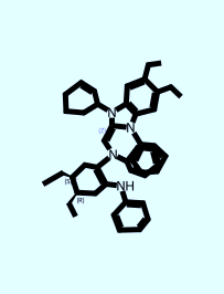 CCc1cc2c(cc1CC)N(C1C=CCCC1)/C(=C/N(C1=C(Nc3ccccc3)C[C@@H](CC)[C@@H](CC)C1)c1ccccc1)N2C1=CCCC=C1